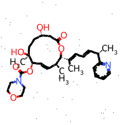 C/C(=C\C=C\[C@H](C)c1ccccn1)[C@H]1OC(=O)C[C@@H](O)CC[C@](C)(O)[C@H](OC(=O)N2CCOCC2)/C=C/[C@@H]1C